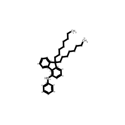 CCCCCCCCC1(CCCCCCCC)c2ccccc2-c2c(Nc3ccccc3)cccc21